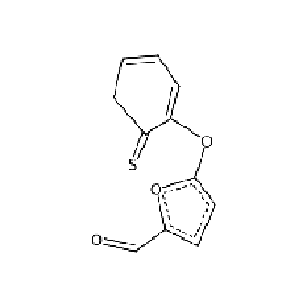 O=Cc1ccc(OC2=CC=CCC2=S)o1